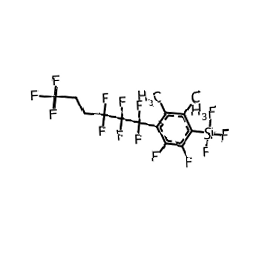 Cc1c(C)c([Si](F)(F)F)c(F)c(F)c1C(F)(F)C(F)(F)C(F)(F)CCC(F)(F)F